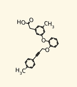 Cc1ccc(C#CCOc2ccccc2Oc2cc(C)cc(CC(=O)O)c2)cc1